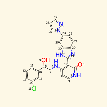 O=c1[nH]ccc(NCC(O)c2cccc(Cl)c2)c1-c1nc2ccc(-n3cccn3)cc2[nH]1